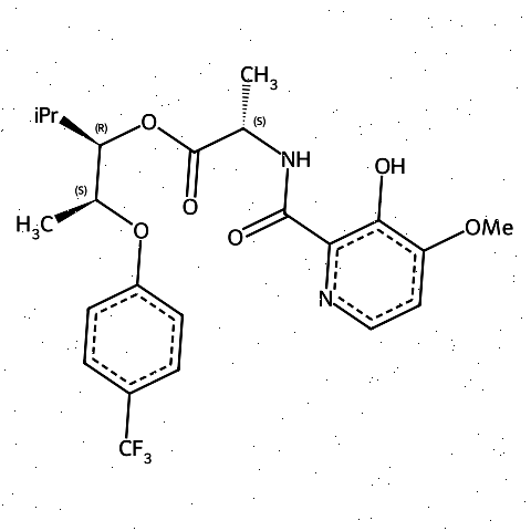 COc1ccnc(C(=O)N[C@@H](C)C(=O)O[C@H](C(C)C)[C@H](C)Oc2ccc(C(F)(F)F)cc2)c1O